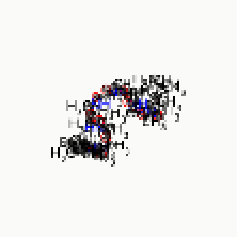 CCC(C)(C)CCC(C)(C)/C=C\CC(C)(C)CCC(C)(C)C(=O)NCC(C)(C)COCC(C)(C)CNC(=O)CC(C)(C)COCC(C)(C)CNC(=O)CCCC(=O)NCC(C)(C)COCC(C)(C)CC(=O)NCC(C)(C)COCC(C)(C)CNC(=O)C(C)(C)CCC(C)(C)C/C=C\C(C)(C)CC(C)(C)CC